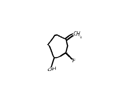 C=C1CCC(O)[C]1F